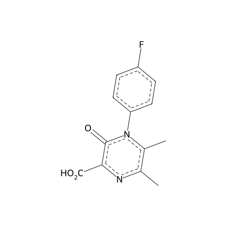 Cc1nc(C(=O)O)c(=O)n(-c2ccc(F)cc2)c1C